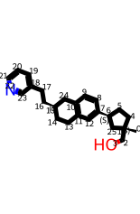 C[C@]1(CO)CC[C@H](c2ccc3c(c2)CC[C@@H](CCc2cccnc2)C3)C1